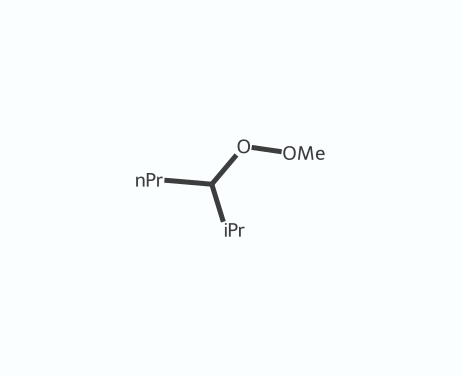 CCCC(OOC)C(C)C